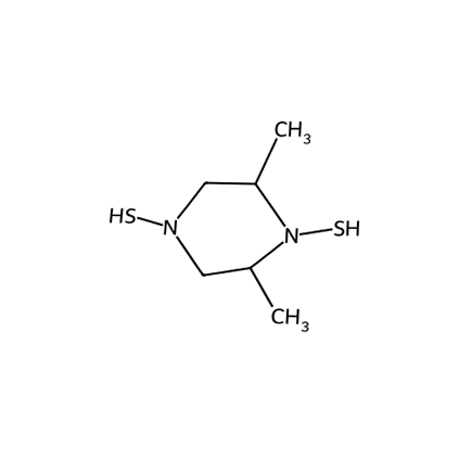 CC1CN(S)CC(C)N1S